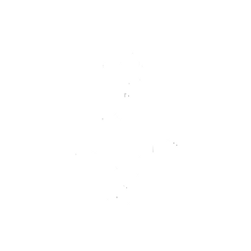 CC(C)(C)OC(=O)NCCSCc1cnccc1SC1=C(C(=O)OC(c2ccccc2)c2ccccc2)N2C(=O)CC2CC1